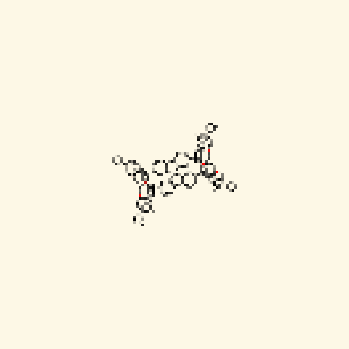 COc1ccc(N(c2ccc(C)cc2)c2ccc3c(c2)C2(c4cc(N(c5ccc(OC)cc5)c5ccc(OC)cc5)ccc4-3)c3cc(N(c4ccc(OC)cc4)c4ccc(OC)cc4)ccc3-c3ccc(N(c4ccc(OC)cc4)c4ccc(OC)cc4)cc32)cc1